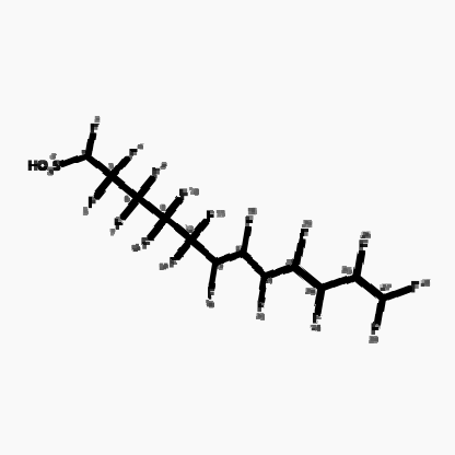 O=S(=O)(O)C(F)C(F)(F)C(F)(F)C(F)(F)C(F)(F)C(F)C(F)C(F)C(F)C(F)C(F)C(F)F